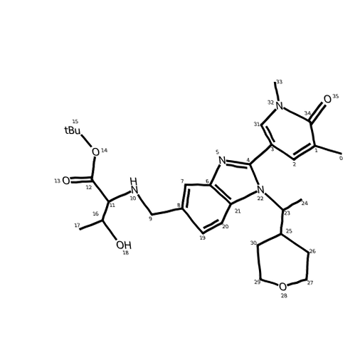 Cc1cc(-c2nc3cc(CNC(C(=O)OC(C)(C)C)C(C)O)ccc3n2C(C)C2CCOCC2)cn(C)c1=O